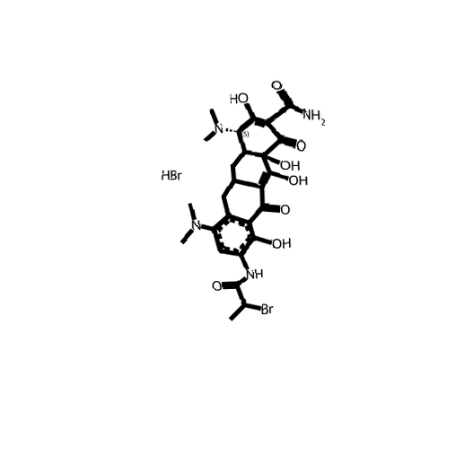 Br.CC(Br)C(=O)Nc1cc(N(C)C)c2c(c1O)C(=O)C1=C(O)C3(O)C(=O)C(C(N)=O)=C(O)[C@@H](N(C)C)C3CC1C2